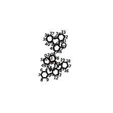 c1ccc(-n2c3ccccc3c3ccc4c5ccccc5n(-c5cccc(-c6cc7oc8cccc9c%10ccccc%10c(c6)c7c89)c5)c4c32)cc1